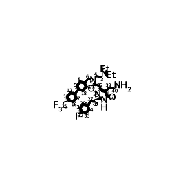 CCN(CC)CCN(Cc1ccc(-c2ccc(C(F)(F)F)cc2)cc1)C(=O)Cc1nc(SCc2ccc(F)cc2)[nH]c(=O)c1CCN